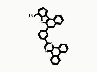 CC(C)(C)c1cccc2c1oc1c(-c3cccc(-c4cnc5c6ccccc6c6ccccc6c5n4)c3)cc3ccccc3c12